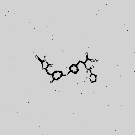 COC(=O)C(Cc1ccc(Oc2ccc(/C=C3/SC(=O)NC3=O)c(F)c2)cc1)NC(=O)C1CCCN1